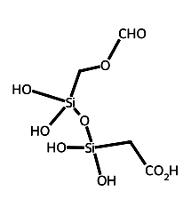 O=COC[Si](O)(O)O[Si](O)(O)CC(=O)O